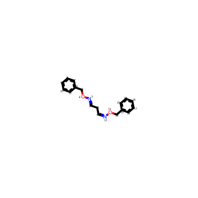 C(/C/C=N/OCc1ccccc1)=N/OCc1ccccc1